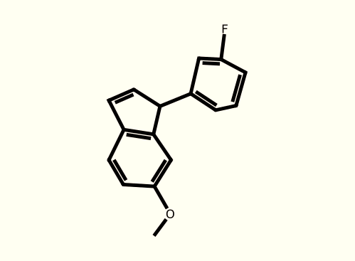 COc1ccc2c(c1)C(c1cccc(F)c1)C=C2